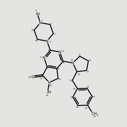 CC(=O)N1CCN(c2nc3c(c(N4CCCC4Cc4ccc(C)cc4)n2)CN(C(C)C)C3=O)CC1